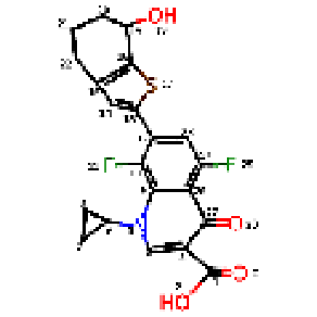 O=C(O)c1cn(C2CC2)c2c(F)c(-c3cc4c(s3)C(O)CCC4)cc(F)c2c1=O